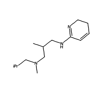 CC(C)CN(C)CC(C)CNC1=NCCC=C1